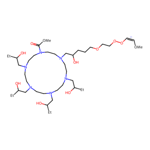 CCC(O)CN1CCN(CC(O)CC)CCN(CC(O)CC)CCN(C(=O)OC)CCN(CC(O)CCCOCCOO/C=C\OC)CCN(CC(O)CC)CC1